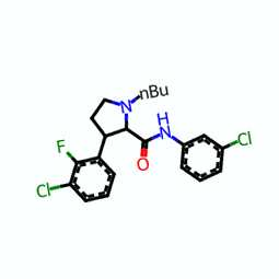 CCCCN1CCC(c2cccc(Cl)c2F)C1C(=O)Nc1cccc(Cl)c1